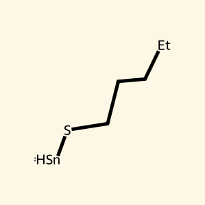 CCCCC[S][SnH]